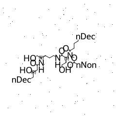 CCCCCCCCCCCCCC(=O)N(OC(=O)CCCCCCCCC)[C@@H](CCO)C(=O)NCCC[C@H](CO)NC(=O)C[C@H](O)CCCCCCCCCCC